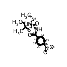 CCC(C)SP(=O)(NSC)NC(=O)c1ccc([N+](=O)[O-])cc1